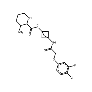 CC1CCCNC1C(=O)NC12CC(NC(=O)COc3ccc(Cl)c(F)c3)(C1)C2